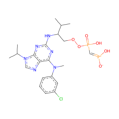 CC(C)C(COOP(=O)(O)/C=[P+](/[O-])O)Nc1nc(N(C)c2cccc(Cl)c2)c2ncn(C(C)C)c2n1